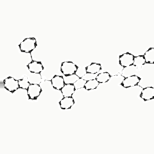 c1ccc(-c2ccc(N(c3ccc4c5c(ccc4c3)-c3c(c4ccc(N(c6ccc(-c7ccccc7)cc6)c6cccc7c6oc6ccccc67)cc4c4ccccc34)C5(c3ccccc3)c3ccccc3)c3cccc4c3oc3ccccc34)cc2)cc1